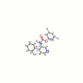 Cc1cc(C)nc(OC(=O)N(C)c2cnccc2-c2ccccc2C)c1